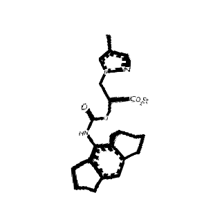 CCOC(=O)C(Cn1cc(C)cn1)OC(=O)Nc1c2c(cc3c1CCC3)CCC2